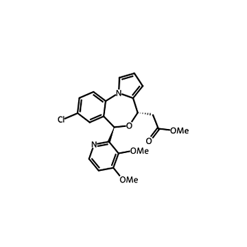 COC(=O)C[C@@H]1O[C@@H](c2nccc(OC)c2OC)c2cc(Cl)ccc2-n2cccc21